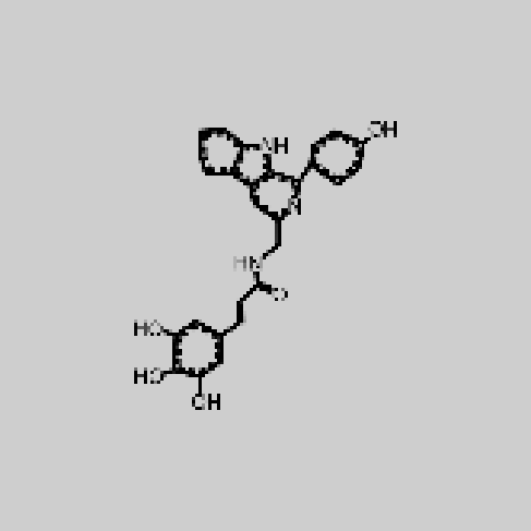 O=C(/C=C/c1cc(O)c(O)c(O)c1)NCc1cc2c([nH]c3ccccc32)c(-c2ccc(O)cc2)n1